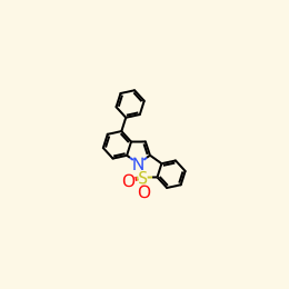 O=S1(=O)c2ccccc2-c2cc3c(-c4ccccc4)cccc3n21